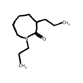 CCCC1CCCCN(CCC)C1=O